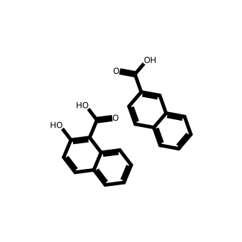 O=C(O)c1c(O)ccc2ccccc12.O=C(O)c1ccc2ccccc2c1